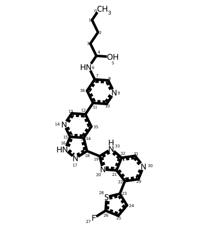 CCCCC(O)Nc1cncc(-c2cnc3[nH]nc(-c4nc5c(-c6ccc(F)s6)cncc5[nH]4)c3c2)c1